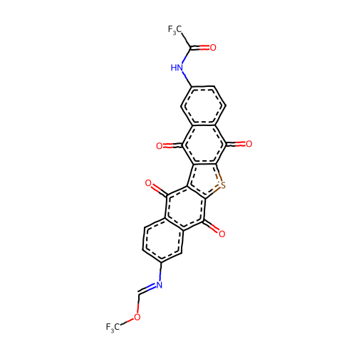 O=C(Nc1ccc2c(=O)c3sc4c(=O)c5cc(N=COC(F)(F)F)ccc5c(=O)c4c3c(=O)c2c1)C(F)(F)F